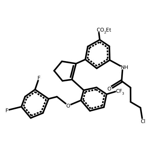 CCOC(=O)c1cc(NC(=O)CCCCl)cc(C2=C(c3cc(C(F)(F)F)ccc3OCc3ccc(F)cc3F)CCC2)c1